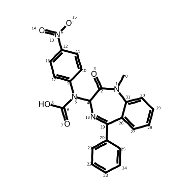 CN1C(=O)C(N(C(=O)O)c2ccc([N+](=O)[O-])cc2)N=C(c2ccccc2)c2ccccc21